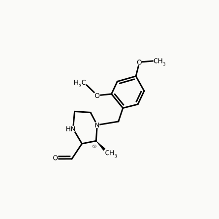 COc1ccc(CN2CCNC(C=O)[C@@H]2C)c(OC)c1